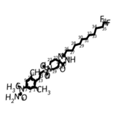 Cc1cc(N(C)C(N)=O)cc(C)c1CCS(=O)(=O)N1CCC2(CC1)N=C(CCCCCCCCCCC(F)F)NC2=O